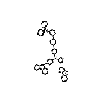 c1cc(-c2ccc3c(c2)oc2ccccc23)cc(N(c2ccc(-c3ccc(-c4cccc(-n5c6ccccc6c6ccccc65)c4)cc3)cc2)c2ccc(-c3cc4ccccc4c4ccccc34)cc2)c1